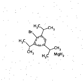 CC(C)c1cc(C(C)C)c(Br)c(C(C)C)c1.[MgH2]